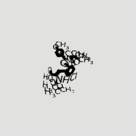 COc1ccc(COc2c(CC(NC(=O)OC(C)(C)C)C(=O)O)cc(Cl)cc2B2OC(C)(C)C(C)(C)O2)cc1